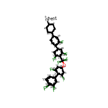 CCCCCC1CCC(c2ccc(-c3cc(F)c(C(F)(F)Oc4cc(F)c(-c5ccc(F)c(F)c5)c(F)c4)c(F)c3)c(F)c2)CC1